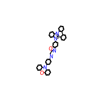 C(=N\c1ccc(N2c3ccccc3Oc3ccccc32)cc1)/c1nc2ccc(N3B4c5ccccc5-c5ccccc5N4c4ccccc43)cc2o1